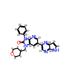 O=c1n(CC2CCOCC2)c2cc(-c3cnc4[nH]ccc4n3)cnc2n1-c1ccccc1